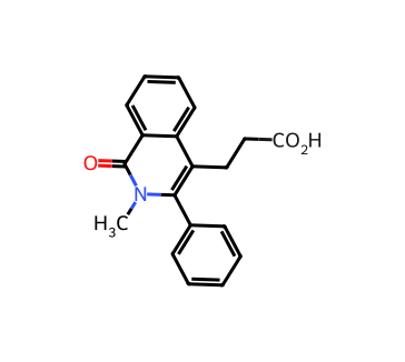 Cn1c(-c2ccccc2)c(CCC(=O)O)c2ccccc2c1=O